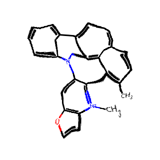 Cc1ccc2ccc3c4ccccc4n4c5cc6occc6[n+](C)c5c1c2c34